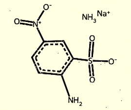 N.Nc1ccc([N+](=O)[O-])cc1S(=O)(=O)[O-].[Na+]